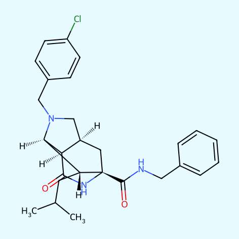 CC(C)C[C@@H]1[C@@H]2[C@@H]3C(=O)N[C@@]1(C(=O)NCc1ccccc1)C[C@@H]3CN2Cc1ccc(Cl)cc1